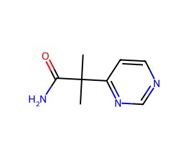 CC(C)(C(N)=O)c1ccncn1